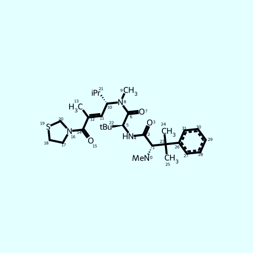 CN[C@H](C(=O)N[C@H](C(=O)N(C)[C@H](/C=C(\C)C(=O)N1CCSC1)C(C)C)C(C)(C)C)C(C)(C)c1ccccc1